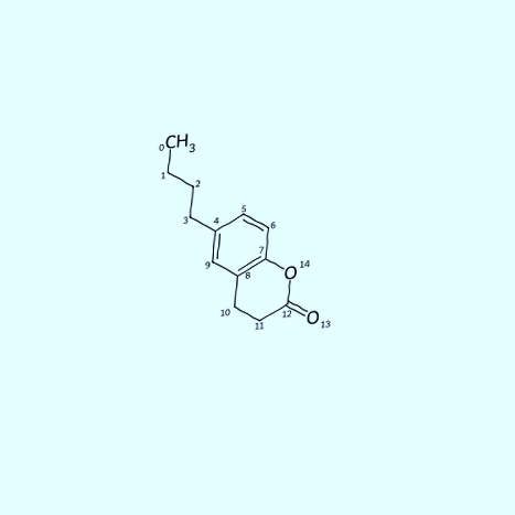 CCCCc1ccc2c(c1)CCC(=O)O2